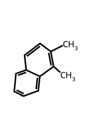 Cc1ccc2cc[c]cc2c1C